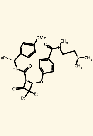 CCC[C@@H](NC(=O)N1C(=O)C(CC)(CC)[C@@H]1Oc1ccc(C(=O)N(C)CCN(C)C)cc1)c1ccc(OC)cc1